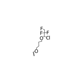 C=COCCCCOC(Cl)C(F)(F)CF